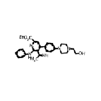 CCOC(=O)c1cc(-c2ccc(N3CCN(CCO)CC3)cc2)c(C(C)=N)c(Nc2ccccc2)n1